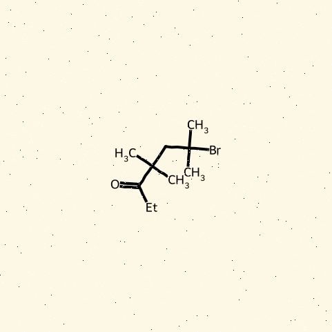 CCC(=O)C(C)(C)CC(C)(C)Br